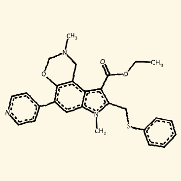 CCOC(=O)c1c(CSc2ccccc2)n(C)c2cc(-c3ccncc3)c3c(c12)CN(C)CO3